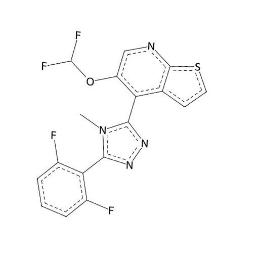 Cn1c(-c2c(F)cccc2F)nnc1-c1c(OC(F)F)cnc2sccc12